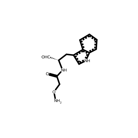 NOCC(=O)N[C@H]([C]=O)Cc1c[nH]c2ccccc12